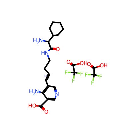 Nc1c(/C=C/CCNC(=O)C(N)C2CCCCC2)cncc1C(=O)O.O=C(O)C(F)(F)F.O=C(O)C(F)(F)F